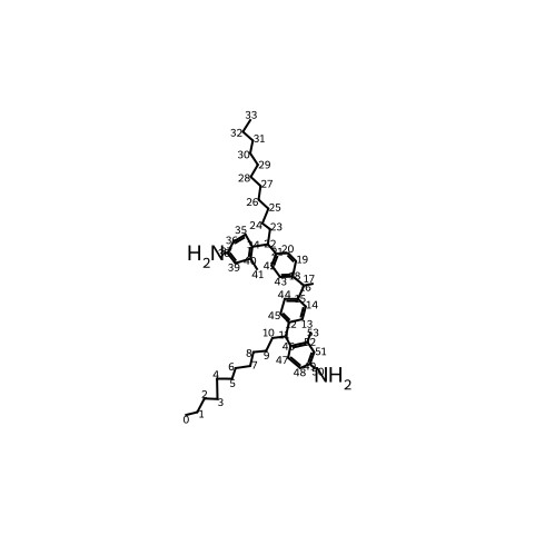 CCCCCCCCCCCC(c1ccc(C(C)c2ccc(C(CCCCCCCCCCC)c3ccc(N)cc3C)cc2)cc1)c1ccc(N)cc1C